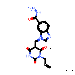 C=CCN1C(=O)NC(=O)C(C=[N+]2C=Nc3ccc(C(=O)NN)cc32)C1=O